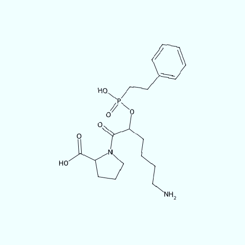 NCCCCC(OP(=O)(O)CCc1ccccc1)C(=O)N1CCCC1C(=O)O